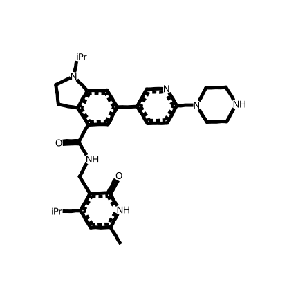 Cc1cc(C(C)C)c(CNC(=O)c2cc(-c3ccc(N4CCNCC4)nc3)cc3c2CCN3C(C)C)c(=O)[nH]1